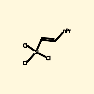 CCCC=C[Si](Cl)(Cl)Cl